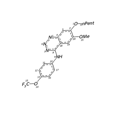 CCCCCOc1cc2nnnc(Nc3ccc(OC(F)(F)F)cc3)c2cc1OC